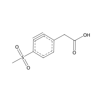 CS(=O)(=O)c1c#cc(CC(=O)O)cc1